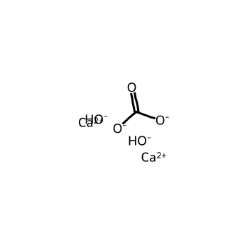 O=C([O-])[O-].[Ca+2].[Ca+2].[OH-].[OH-]